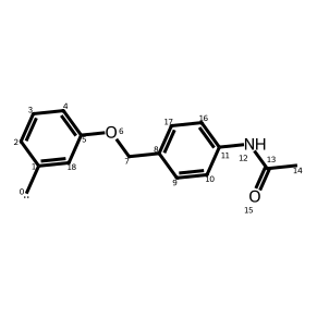 [CH]c1cccc(OCc2ccc(NC(C)=O)cc2)c1